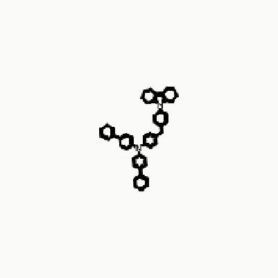 C1=CCCC(c2ccc(N(C3=CC=C(C4=CCCC=C4)CC3)c3ccc(CC4C=CC(n5c6c(c7c5CCCC7)C=CCC6)CC4)cc3)cc2)=C1